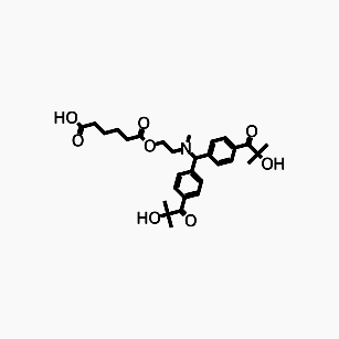 CN(CCOC(=O)CCCCC(=O)O)C(c1ccc(C(=O)C(C)(C)O)cc1)c1ccc(C(=O)C(C)(C)O)cc1